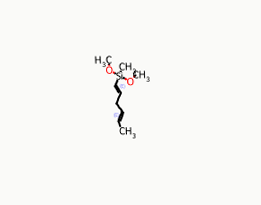 C/C=C/C/C=C/[Si](C)(OC)OC